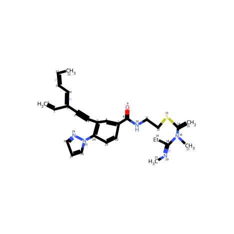 C=C/C(C#Cc1cc(C(=O)NCCSC(=C)N(C)/C(CC)=N/C)ccc1-n1cccn1)=C\C=C/C